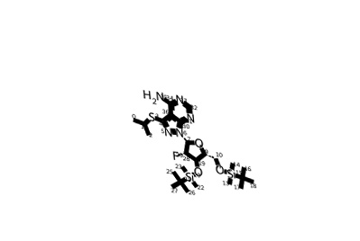 CC(C)Sc1nn([C@@H]2O[C@H](CO[Si](C)(C)C(C)(C)C)C(O[Si](C)(C)C(C)(C)C)[C@@H]2F)c2ncnc(N)c12